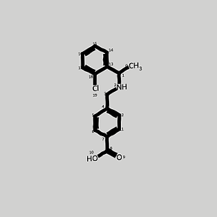 CC(NCc1ccc(C(=O)O)cc1)c1ccccc1Cl